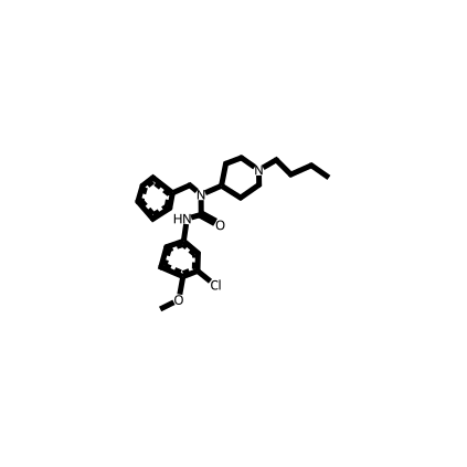 CCCCN1CCC(N(Cc2ccccc2)C(=O)Nc2ccc(OC)c(Cl)c2)CC1